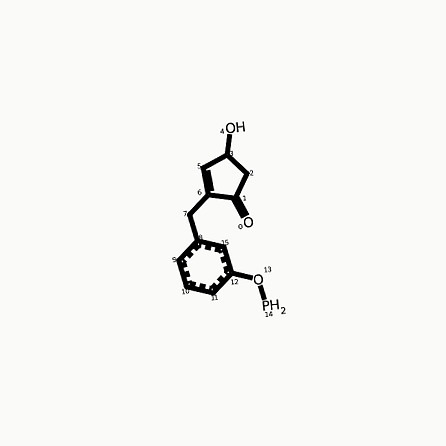 O=C1CC(O)C=C1Cc1cccc(OP)c1